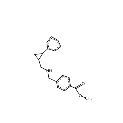 COC(=O)c1ccc(CNCC2CC2c2ccccc2)cc1